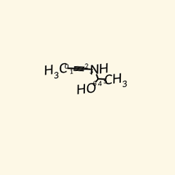 CC#CNC(C)O